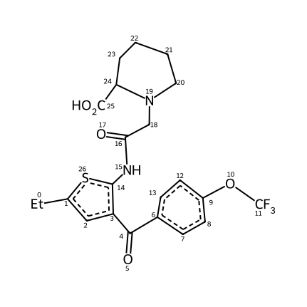 CCc1cc(C(=O)c2ccc(OC(F)(F)F)cc2)c(NC(=O)CN2CCCCC2C(=O)O)s1